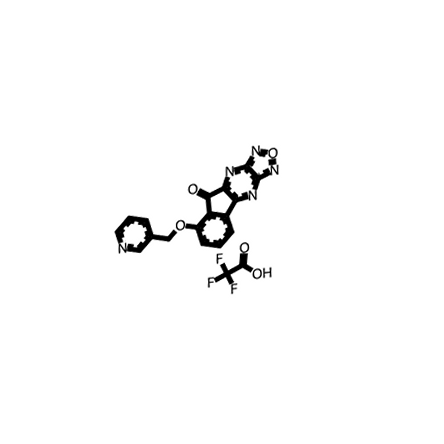 O=C(O)C(F)(F)F.O=C1c2nc3nonc3nc2-c2cccc(OCc3cccnc3)c21